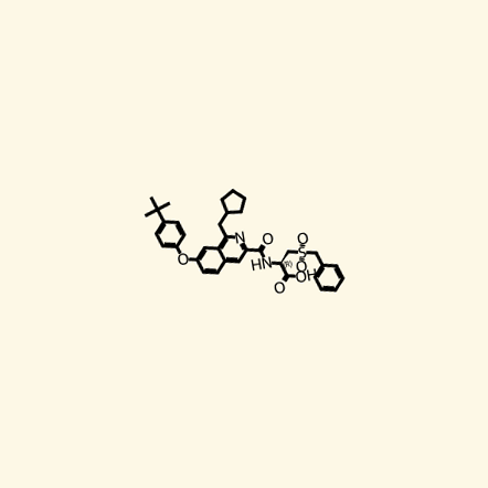 CC(C)(C)c1ccc(Oc2ccc3cc(C(=O)N[C@@H](CS(=O)(=O)Cc4ccccc4)C(=O)O)nc(CC4CCCC4)c3c2)cc1